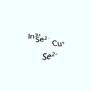 [Cu+].[In+3].[Se-2].[Se-2]